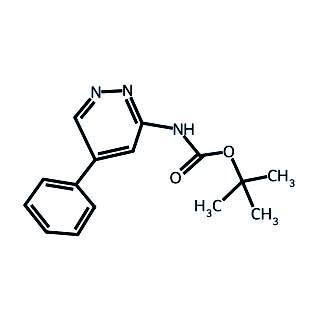 CC(C)(C)OC(=O)Nc1cc(-c2ccccc2)cnn1